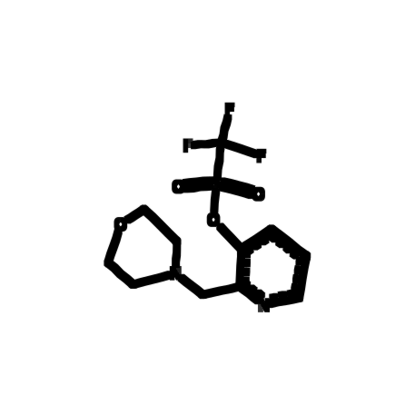 O=S(=O)(Oc1cccnc1CN1CCOCC1)C(F)(F)F